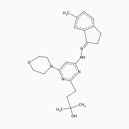 Cc1ccc2c(c1)/C(=N/Nc1cc(N3CCOCC3)nc(CCC(C)(C)O)n1)CC2